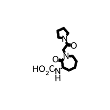 O=C(O)N[C@H]1CCCCN(CC(=O)N2CCCC2)C1=O